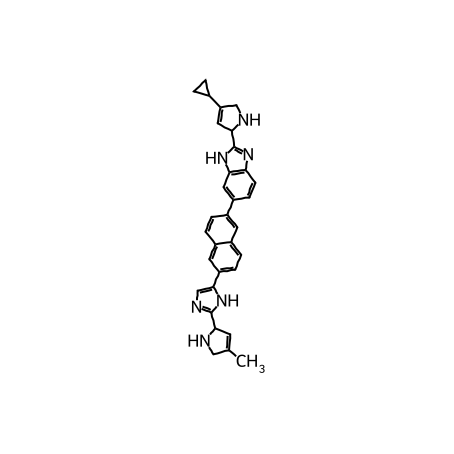 CC1=CC(c2ncc(-c3ccc4cc(-c5ccc6nc(C7C=C(C8CC8)CN7)[nH]c6c5)ccc4c3)[nH]2)NC1